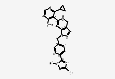 COc1ncnc(C2CC2)c1C1=Nc2c(cnn2Cc2ccc(-c3nc(C(F)(F)F)cn3C(C)C)cc2)CN1